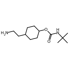 CC(C)(C)NC(=O)OC1CCC(CCN)CC1